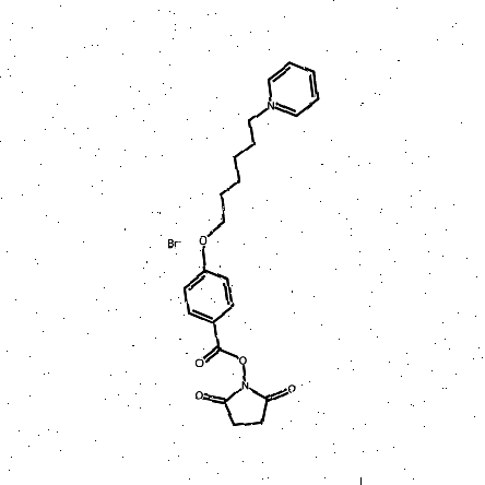 O=C(ON1C(=O)CCC1=O)c1ccc(OCCCCCC[n+]2ccccc2)cc1.[Br-]